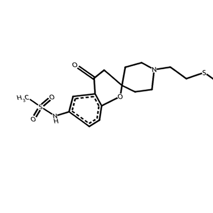 CSCCN1CCC2(CC1)CC(=O)c1cc(NS(C)(=O)=O)ccc1O2